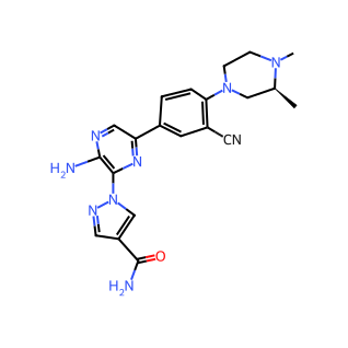 C[C@H]1CN(c2ccc(-c3cnc(N)c(-n4cc(C(N)=O)cn4)n3)cc2C#N)CCN1C